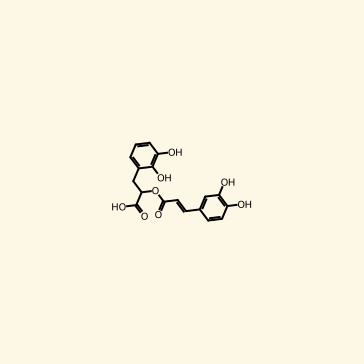 O=C(/C=C/c1ccc(O)c(O)c1)OC(Cc1cccc(O)c1O)C(=O)O